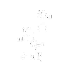 CCCCc1cn(-c2nncn2CCC)c(=O)n1CC1(c2cccc(-c3nnn[nH]3)c2)C=CNC=C1